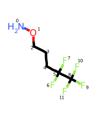 NOCCCC(F)(F)C(F)(F)F